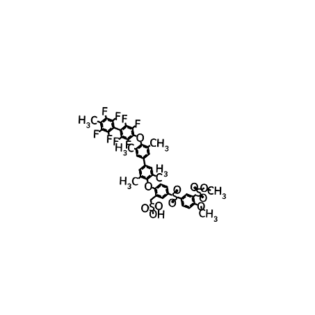 COc1ccc(S(=O)(=O)c2ccc(Oc3c(C)cc(-c4cc(C)c(Oc5c(F)c(F)c(-c6c(F)c(F)c(C)c(F)c6F)c(F)c5F)c(C)c4)cc3C)c(CS(=O)(=O)O)c2)cc1S(=O)(=O)OC